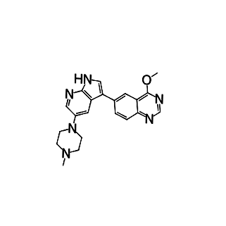 COc1ncnc2ccc(-c3c[nH]c4ncc(N5CCN(C)CC5)cc34)cc12